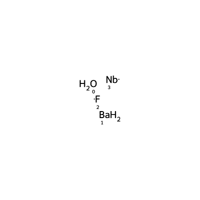 O.[BaH2].[F].[Nb]